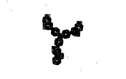 c1ccc2c(c1)oc1cc(-c3ccc(N(c4ccc(-c5cnc6ccncc6c5)cc4)c4ccc(-c5cnc6ccncc6c5)cc4)cc3)ncc12